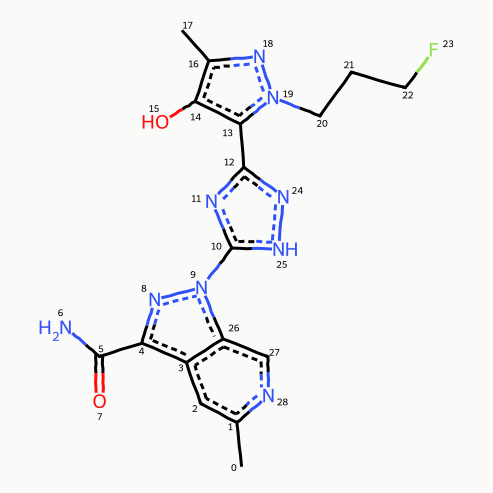 Cc1cc2c(C(N)=O)nn(-c3nc(-c4c(O)c(C)nn4CCCF)n[nH]3)c2cn1